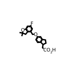 CC1(C)Cc2c(COc3ccc4c(c3)CCC4CC(=O)O)cc(F)cc2O1